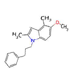 COc1ccc2c([c]c(C)n2CCCc2ccccc2)c1C